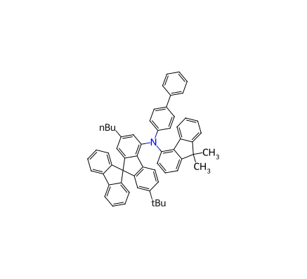 CCCCc1cc(N(c2ccc(-c3ccccc3)cc2)c2cccc3c2-c2ccccc2C3(C)C)c2c(c1)C1(c3ccccc3-c3ccccc31)c1cc(C(C)(C)C)ccc1-2